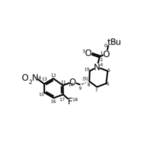 CC(C)(C)OC(=O)N1CCC[C@H](COc2cc([N+](=O)[O-])ccc2F)C1